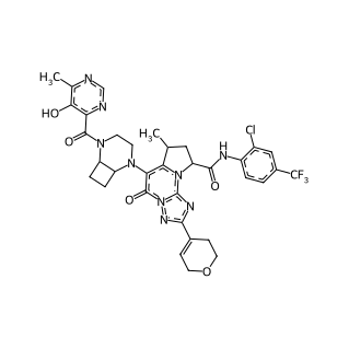 Cc1ncnc(C(=O)N2CCN(c3c4n(c5nc(C6=CCOCC6)nn5c3=O)C(C(=O)Nc3ccc(C(F)(F)F)cc3Cl)CC4C)C3CCC32)c1O